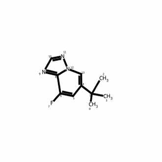 CC(C)(C)c1cc(F)c2ncnn2c1